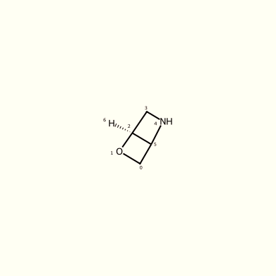 C1O[C@H]2CNC12